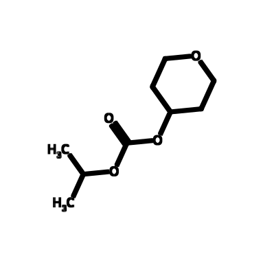 CC(C)OC(=O)OC1CCOCC1